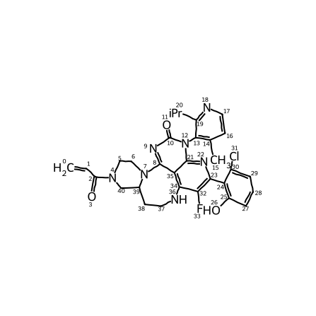 C=CC(=O)N1CCN2c3nc(=O)n(-c4c(C)ccnc4C(C)C)c4nc(-c5c(O)cccc5Cl)c(F)c(c34)NCCC2C1